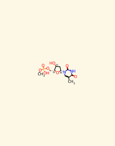 COP(=O)(O)OC[C@H]1O[C@@H](n2cc(C)c(=O)[nH]c2=O)C[C@@H]1O